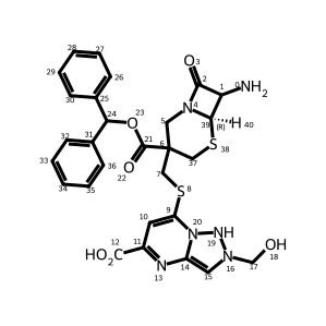 NC1C(=O)N2CC(CSC3=CC(C(=O)O)=NC4=CN(CO)NN43)(C(=O)OC(c3ccccc3)c3ccccc3)CS[C@H]12